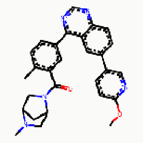 COc1ccc(-c2ccc3ncnc(-c4ccc(C)c(C(=O)N5CC6CC5CN6C)c4)c3c2)cn1